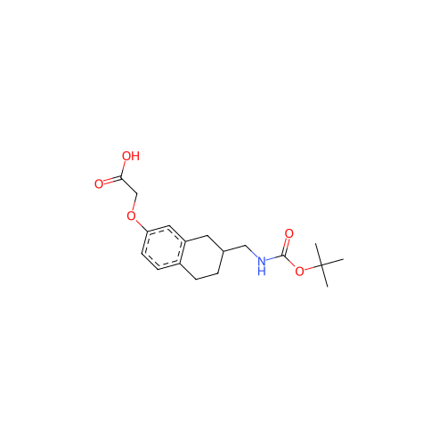 CC(C)(C)OC(=O)NCC1CCc2ccc(OCC(=O)O)cc2C1